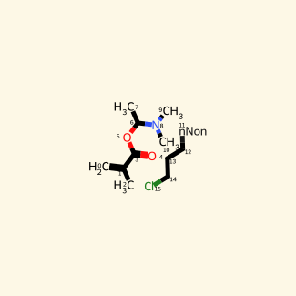 C=C(C)C(=O)OC(C)N(C)C.CCCCCCCCCCCCCl